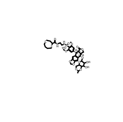 COc1cc([C@@H]2c3cc4c(cc3[C@@H](OC3OC5COC(C)OC5C(O)C3O)[C@H]3COC(=O)[C@H]23)OCO4)cc(OC)c1P(=O)(O)NCCNC(=O)C1CCCCCCCC1